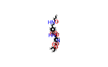 CCCC(=O)NCCc1ccc(S(=O)(=O)NC(=O)c2ccc(OC(=O)OC(CC)CC)nc2)cc1